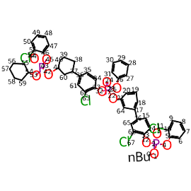 CCCCOP(=O)(Oc1ccccc1Cl)Oc1ccc(-c2cccc(OP(=O)(Oc3ccccc3)Oc3ccc(C4CCCC(OP(=O)(Oc5ccccc5Cl)OC5CCCCC5)C4)cc3Cl)c2)cc1Cl